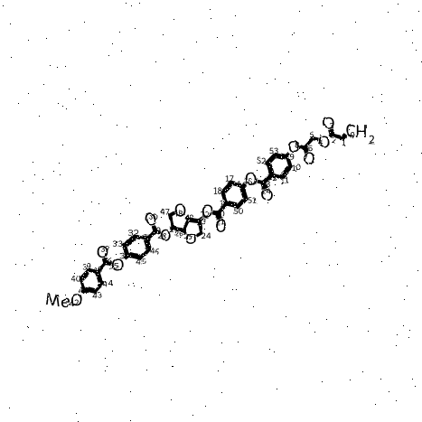 C=CC(=O)OCC(=O)Oc1ccc(C(=O)Oc2ccc(C(=O)OC3COC4C(OC(=O)c5ccc(OC(=O)c6ccc(OC)cc6)cc5)COC34)cc2)cc1